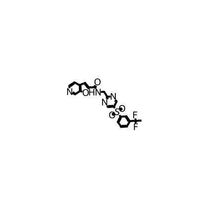 CC(F)(F)c1cccc(S(=O)(=O)c2cnc(CNC(=O)c3cc4ccncc4o3)nc2)c1